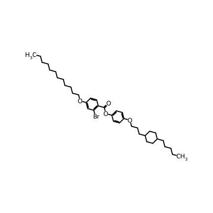 CCCCCCCCCCCCOc1ccc(C(=O)Oc2ccc(OCCCC3CCC(CCCCC)CC3)cc2)c(Br)c1